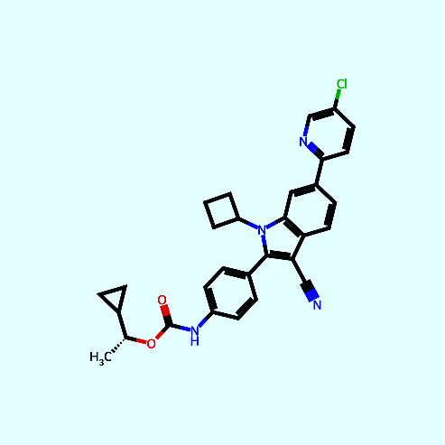 C[C@@H](OC(=O)Nc1ccc(-c2c(C#N)c3ccc(-c4ccc(Cl)cn4)cc3n2C2CCC2)cc1)C1CC1